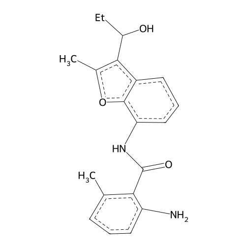 CCC(O)c1c(C)oc2c(NC(=O)c3c(C)cccc3N)cccc12